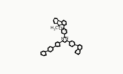 CC1(C)c2c(-c3ccc(-c4nc(-c5ccc(-c6ccc(-c7ccccc7)cc6)cc5)cc(-c5ccc(-c6cccc7ccccc67)cc5)n4)cc3)cccc2C2C=CC=CC21